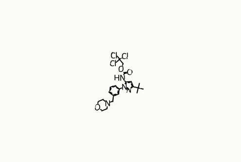 CC(C)(C)c1cc(NC(=O)OCC(Cl)(Cl)Cl)n(-c2cccc(CN3CCOCC3)c2)n1